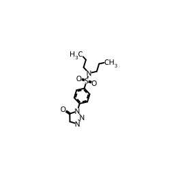 CCCN(CCC)S(=O)(=O)c1ccc(N2N=NCC2=O)cc1